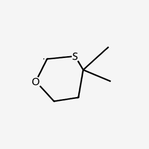 CC1(C)CCO[CH]S1